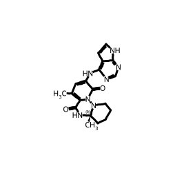 Cc1cc(Nc2ncnc3[nH]ccc23)c(=O)n2c1C(=O)N[C@@]1(C)CCCCN21